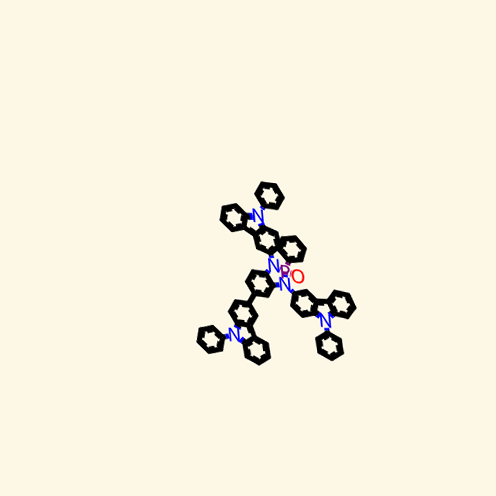 O=P1(c2ccccc2)N(c2ccc3c(c2)c2ccccc2n3-c2ccccc2)c2ccc(-c3ccc4c(c3)c3ccccc3n4-c3ccccc3)cc2N1c1ccc2c(c1)c1ccccc1n2-c1ccccc1